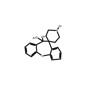 CC(=O)OC1(O)c2ccccc2Oc2ccccc2C12CCN(C(C)=O)CC2